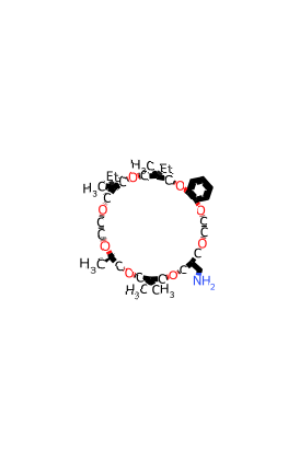 CCC1(C)COCCO[C@H](C)COCC(C)(C)COCC(CN)COCCOc2ccccc2OCC(C)(CC)COC1